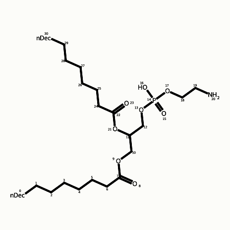 CCCCCCCCCCCCCCCCC(=O)OCC(COP(=O)(O)OCCN)OC(=O)CCCCCCCCCCCCCCCC